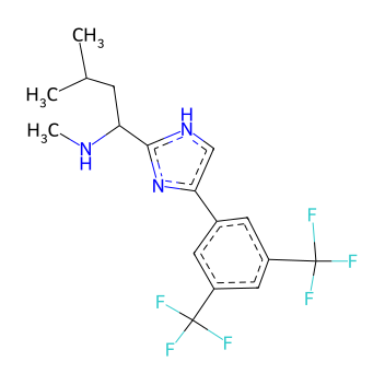 CNC(CC(C)C)c1nc(-c2cc(C(F)(F)F)cc(C(F)(F)F)c2)c[nH]1